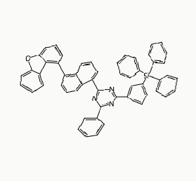 c1ccc(-c2nc(-c3cccc([Si](c4ccccc4)(c4ccccc4)c4ccccc4)c3)nc(-c3cccc4c(-c5cccc6oc7ccccc7c56)cccc34)n2)cc1